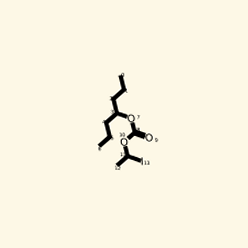 CCCC(CCC)OC(=O)OC(C)I